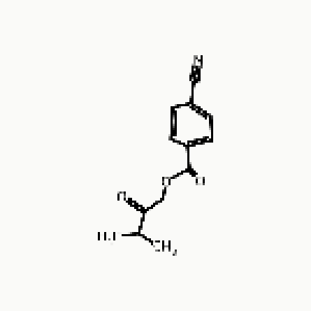 CC(C)C(=O)COC(=O)c1ccc(C#N)cc1